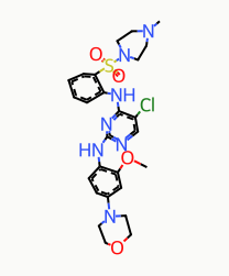 COc1cc(N2CCOCC2)ccc1Nc1ncc(Cl)c(Nc2ccccc2S(=O)(=O)N2CCN(C)CC2)n1